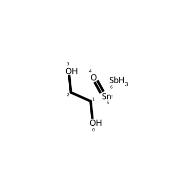 OCCO.[O]=[Sn].[SbH3]